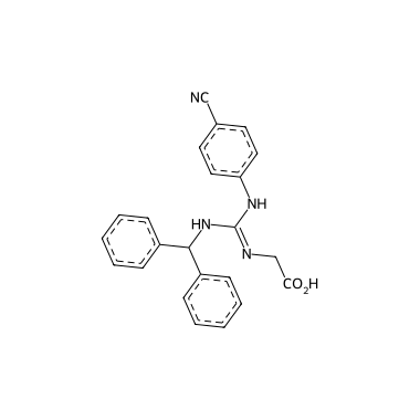 N#Cc1ccc(NC(=NCC(=O)O)NC(c2ccccc2)c2ccccc2)cc1